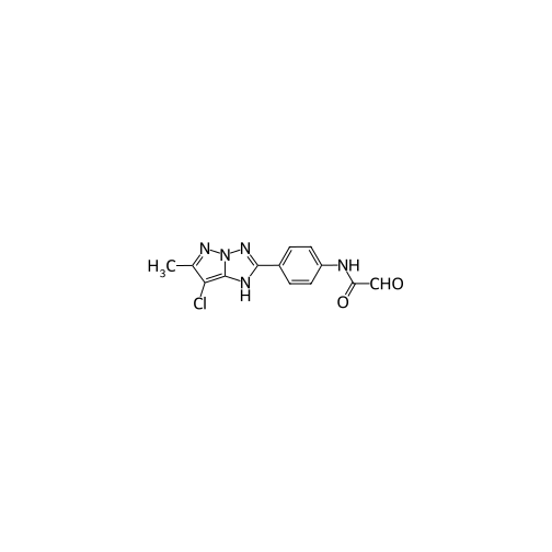 Cc1nn2nc(-c3ccc(NC(=O)C=O)cc3)[nH]c2c1Cl